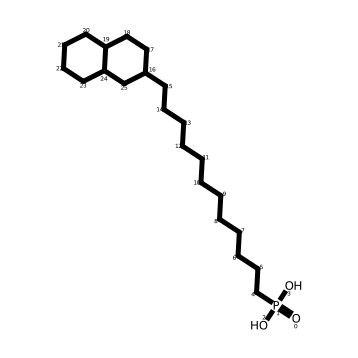 O=P(O)(O)CCCCCCCCCCCCC1CCC2CCCCC2C1